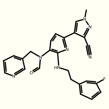 Cn1cc(-c2ccc(N(C=O)Cc3cccnc3)c(NCCc3cccc(F)c3)n2)c(C#N)n1